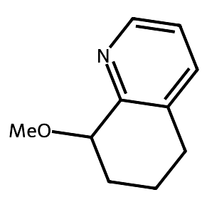 COC1CCCc2cccnc21